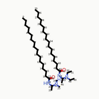 CCCCCCCCCCCCCCCCCC(=O)NC(C)N(C)C.CCCCCCCCCCCCCCCCCC(=O)NC(C)N(CC)CC